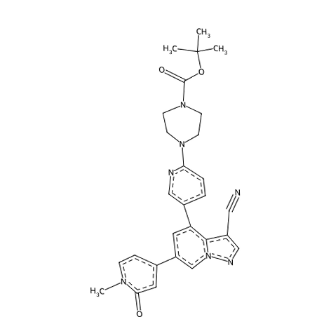 Cn1ccc(-c2cc(-c3ccc(N4CCN(C(=O)OC(C)(C)C)CC4)nc3)c3c(C#N)cnn3c2)cc1=O